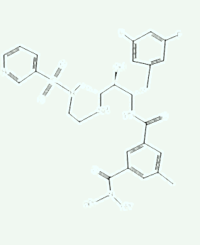 CCCN(CCC)C(=O)c1cc(C)cc(C(=O)N[C@@H](Cc2cc(F)cc(F)c2)[C@H](O)[C@H]2CN(S(=O)(=O)c3cccnc3)CCN2)c1